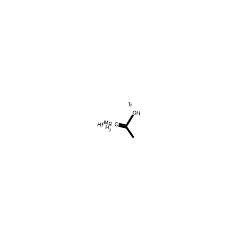 CC(=O)O.[Hf].[MgH2].[Ti]